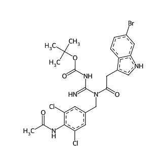 CC(=O)Nc1c(Cl)cc(CN(C(=N)NC(=O)OC(C)(C)C)C(=O)Cc2c[nH]c3cc(Br)ccc23)cc1Cl